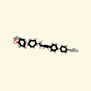 CCCCOc1ccc([C@H]2CC[C@H](/C=C/C#Cc3ccc([C@H]4CC[C@H](CCCC)CC4)cc3)CC2)cc1